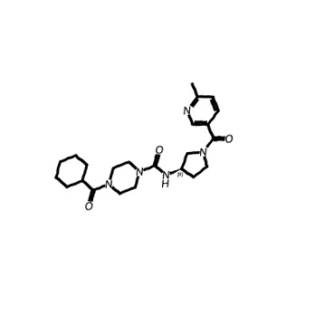 Cc1ccc(C(=O)N2CC[C@@H](NC(=O)N3CCN(C(=O)C4CCCCC4)CC3)C2)cn1